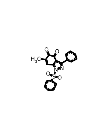 CC1=Cc2c(c(-c3ccccc3)nn2S(=O)(=O)c2ccccc2)C(=O)C1=O